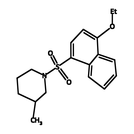 CCOc1ccc(S(=O)(=O)N2CCCC(C)C2)c2ccccc12